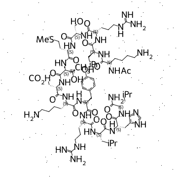 CSCC[C@H](NC(=O)[C@H](CO)NC(=O)[C@H](CCCNC(=N)N)NC(=O)[C@H](CC(C)C)NC(=O)[C@H](CCCCN)NC(C)=O)C(=O)N[C@H](C(=O)N[C@@H](CC(=O)O)C(=O)N[C@@H](CCCCN)C(=O)N[C@@H](Cc1ccc(O)cc1)C(=O)N[C@@H](CCCNC(=N)N)C(=O)N[C@@H](CC(C)C)C(=O)N[C@@H](Cc1cnc[nH]1)C(=O)N[C@@H](CC(C)C)C(N)=O)[C@@H](C)O